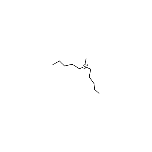 CCCCC[S+](C)CCCCC